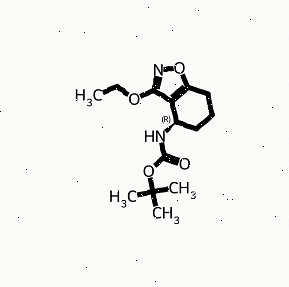 CCOc1noc2c1[C@H](NC(=O)OC(C)(C)C)CCC2